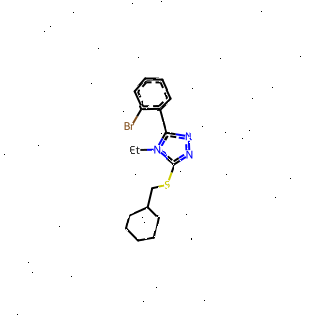 CCn1c(SCC2CCCCC2)nnc1-c1ccccc1Br